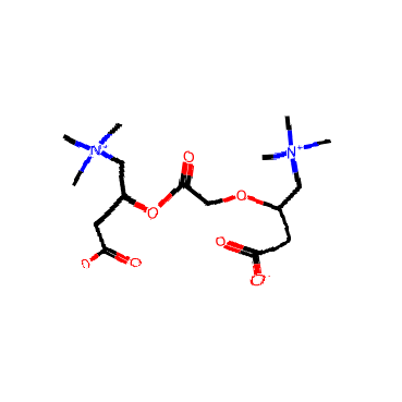 C[N+](C)(C)CC(CC(=O)[O-])OCC(=O)OC(CC(=O)[O-])C[N+](C)(C)C